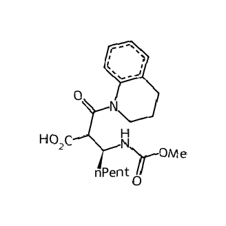 CCCCC[C@H](NC(=O)OC)C(C(=O)O)C(=O)N1CCCc2ccccc21